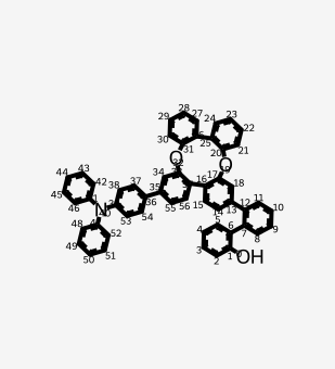 Oc1ccccc1-c1ccccc1-c1ccc2c(c1)Oc1ccccc1-c1ccccc1Oc1cc(-c3ccc(N(c4ccccc4)c4ccccc4)cc3)ccc1-2